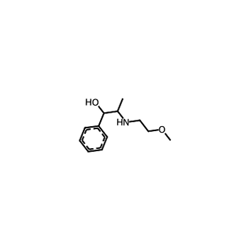 COCCNC(C)C(O)c1ccccc1